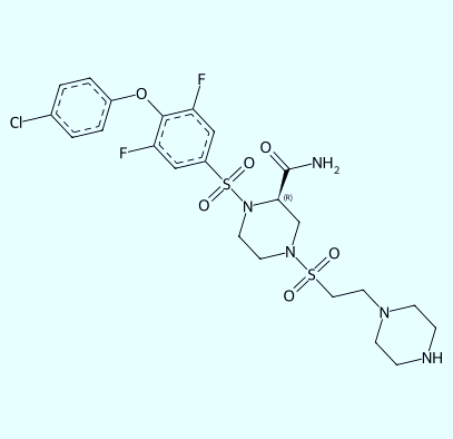 NC(=O)[C@H]1CN(S(=O)(=O)CCN2CCNCC2)CCN1S(=O)(=O)c1cc(F)c(Oc2ccc(Cl)cc2)c(F)c1